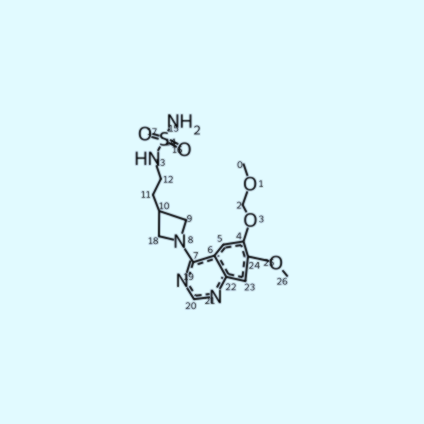 COCOc1cc2c(N3CC(CCNS(N)(=O)=O)C3)ncnc2cc1OC